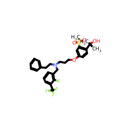 CC(C)(O)c1ccc(OCCCN(CCc2ccccc2)Cc2cccc(C(F)(F)F)c2F)cc1S(C)(=O)=O